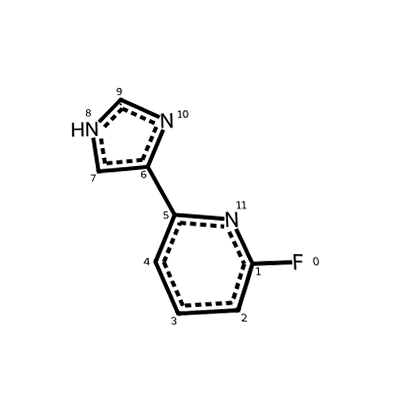 Fc1cccc(-c2c[nH][c]n2)n1